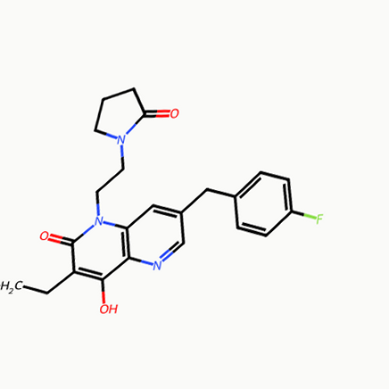 [CH2]Cc1c(O)c2ncc(Cc3ccc(F)cc3)cc2n(CCN2CCCC2=O)c1=O